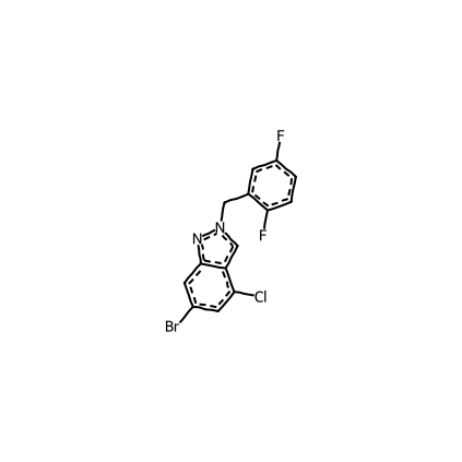 Fc1ccc(F)c(Cn2cc3c(Cl)cc(Br)cc3n2)c1